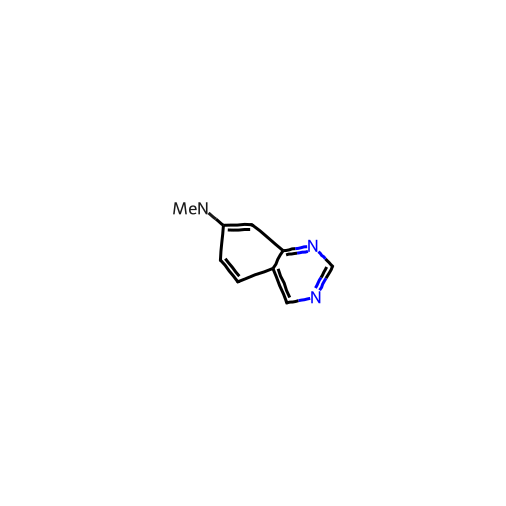 CNc1ccc2cncnc2c1